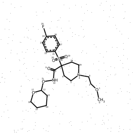 COCCN1CCC(C(=O)NOC2CCCCO2)(S(=O)(=O)c2ccc(F)cc2)CC1